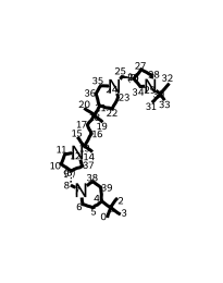 CC(C)(C)C1CCN(C[C@@H]2CCN(C(C)(C)CCC(C)(C)C3CCN(C[C@H]4CCN(C(C)(C)C)C4)CC3)C2)CC1